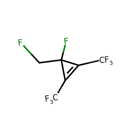 FCC1(F)C(C(F)(F)F)=C1C(F)(F)F